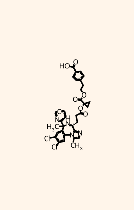 Cc1cnc2n1-c1cc(Cl)c(Cl)cc1C(C)(c1ccccn1)N[C@H]2CCC(=O)OC1(C(=O)OCCc2ccc(C(=O)O)cc2)CC1